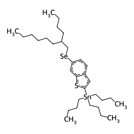 CCCCCCC(CCCC)C[Se]c1ccc2c[c]([Sn]([CH2]CCC)([CH2]CCC)[CH2]CCC)sc2c1